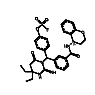 CCC1(CC)CC(=O)N(C(c2ccc(OS(=O)(=O)F)cc2)c2cccc(C(=O)N[C@H]3CCOc4ccccc43)c2)C(=N)N1